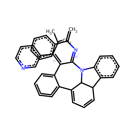 C=C(C)/C(=C1/C2=CC=C=C=C2C2=CC=CC3c4ccccc4N(/C1=N/C(=C)c1ccccc1)C23)c1cccnc1